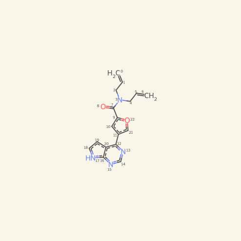 C=CCN(CC=C)C(=O)c1cc(-c2ncnc3[nH]ccc23)co1